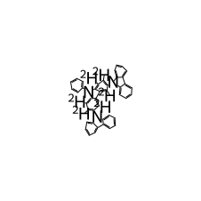 [2H]c1c(-n2c3ccccc3c3ccccc32)c([2H])c2c3c([2H])c(-n4c5ccccc5c5ccccc54)c([2H])c([2H])c3n(-c3ccccc3)c2c1[2H]